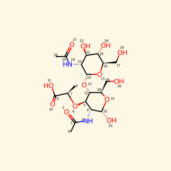 CC(=O)N[C@@H]1[C@@H](O[C@H](C)C(=O)O)[C@H](O[C@H]2O[C@H](CO)[C@@H](O)[C@H](O)[C@H]2NC(C)=O)[C@@H](CO)O[C@@H]1O